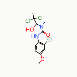 COc1ccc(NC(=O)N(C)C(O)C(C)(Cl)Cl)c(Cl)c1